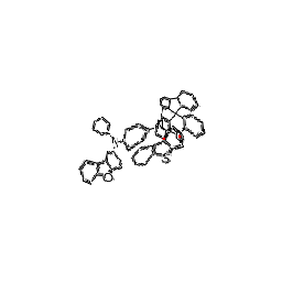 c1ccc(N(c2ccc(N(c3cccc4c3C3(c5ccccc5Oc5ccccc53)c3ccccc3-4)c3cccc4sc5ccccc5c34)cc2)c2ccc3oc4ccccc4c3c2)cc1